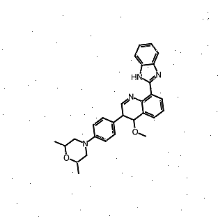 COC1c2cccc(-c3nc4ccccc4[nH]3)c2N=CC1c1ccc(N2CC(C)OC(C)C2)cc1